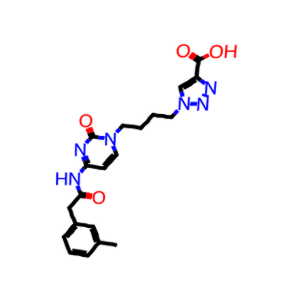 Cc1cccc(CC(=O)Nc2ccn(CCCCn3cc(C(=O)O)nn3)c(=O)n2)c1